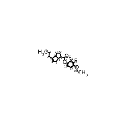 CCCC1=CCC2C(C(=O)Oc3ccc(OCC)c(F)c3F)CCC12